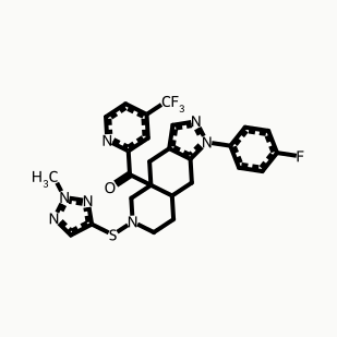 Cn1ncc(SN2CCC3Cc4c(cnn4-c4ccc(F)cc4)CC3(C(=O)c3cc(C(F)(F)F)ccn3)C2)n1